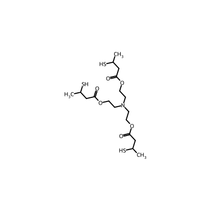 CC(S)CC(=O)OCCN(CCOC(=O)CC(C)S)CCOC(=O)CC(C)S